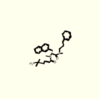 CN(CCCc1ccccc1)C(=O)[C@@H](Cc1ccc2ccccc2c1)N(C)C(=O)/C=C/CC(C)(C)N